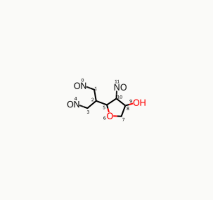 O=NCC(CN=O)C1OCC(O)C1N=O